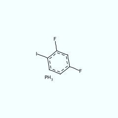 Fc1ccc(I)c(F)c1.P